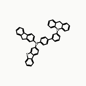 c1cc(-c2ccc(N(c3ccc4c(c3)Cc3ccccc3-4)c3ccc4c(c3)sc3ccccc34)cc2)cc(N2c3ccccc3Cc3ccccc32)c1